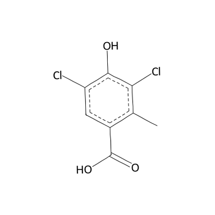 Cc1c(C(=O)O)cc(Cl)c(O)c1Cl